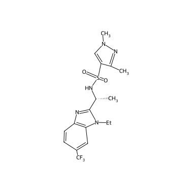 CCn1c([C@@H](C)NS(=O)(=O)c2cn(C)nc2C)nc2ccc(C(F)(F)F)cc21